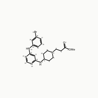 COC(=O)CCN1CCC(Nc2cc(Nc3cccc(Br)c3)ncn2)CC1